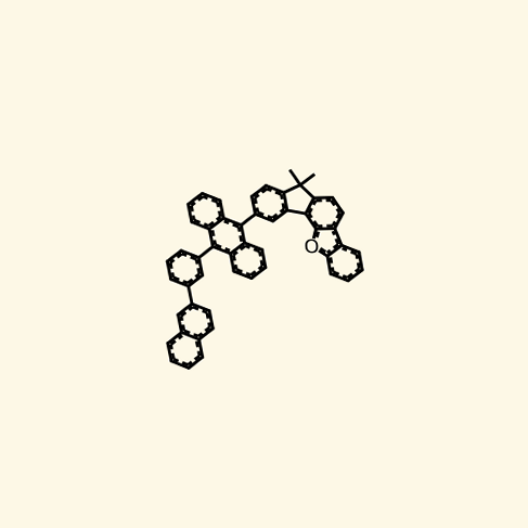 CC1(C)c2ccc(-c3c4ccccc4c(-c4cccc(-c5ccc6ccccc6c5)c4)c4ccccc34)cc2-c2c1ccc1c2oc2ccccc21